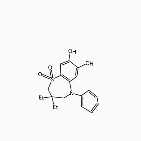 CCC1(CC)CN(c2ccccc2)c2cc(O)c(O)cc2S(=O)(=O)C1